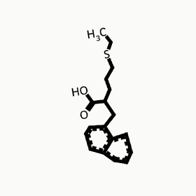 CCSCCCC(Cc1cccc2ccccc12)C(=O)O